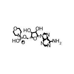 Nc1ncnc2c1ncn2[C@@H]1O[C@H](COP(=O)(O)N2CCOCC2)C(O)C1O